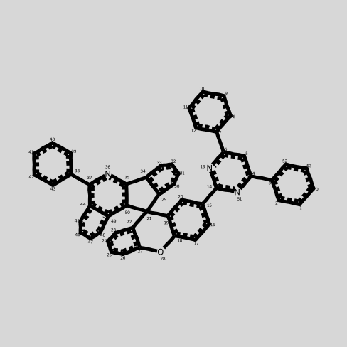 c1ccc(-c2cc(-c3ccccc3)nc(-c3ccc4c(c3)C3(c5ccccc5O4)c4ccccc4-c4nc(-c5ccccc5)c5ccccc5c43)n2)cc1